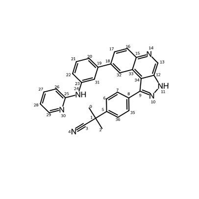 CC(C)(C#N)c1ccc(-c2n[nH]c3cnc4ccc(-c5cccc(Nc6ccccn6)c5)cc4c23)cc1